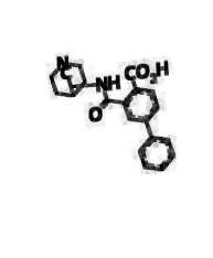 O=C(O)c1ccc(-c2ccccc2)cc1C(=O)NC1CN2CCC1CC2